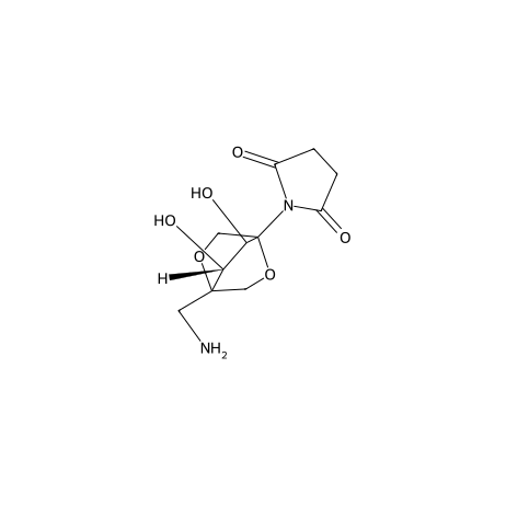 NCC12COC(N3C(=O)CCC3=O)(CO1)C(O)[C@H]2O